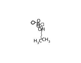 CC(C)CCCCCCC1(C(=O)O)CCCC1OC(=O)c1ccccc1